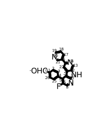 O=[C]c1ccc(-c2c(F)cnc3[nH]c4cnc(-c5cccnc5)cc4c23)cc1